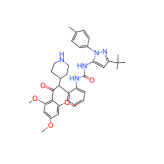 COc1cc(OC)c(C(=O)C(c2ccccc2NC(=O)Nc2cc(C(C)(C)C)nn2-c2ccc(C)cc2)C2CCNCC2)c(OC)c1